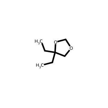 CCC1(CC)COCO1